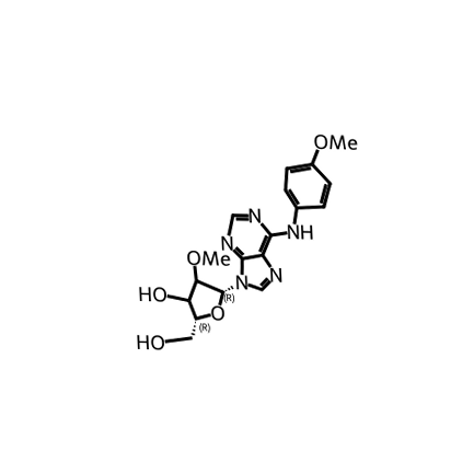 COc1ccc(Nc2ncnc3c2ncn3[C@@H]2O[C@H](CO)C(O)C2OC)cc1